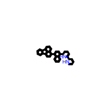 C1=CNC(C2=CC=CC(c3ccc(-c4ccc5c6c(cccc46)-c4ccccc4-5)c4ccccc34)N2)C=C1